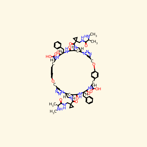 CN[C@@H](C)C(=O)NCC1(C(=O)N2C[C@@H]3C[C@H]2C(=O)N[C@@H](Cc2ccccc2)C(=O)N[C@H](C(=O)O)Cc2ccc(cc2)OCc2cn(nn2)[C@H]2C[C@@H](C(=O)N[C@@H](Cc4ccccc4)C(=O)N[C@H](C(=O)O)Cc4ccc(cc4)OCc4cn3nn4)N(C(=O)C3(CNC(=O)[C@H](C)NC)CC3)C2)CC1